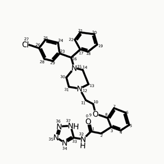 O=C(Cc1ccccc1OCCN1CCN(C(c2ccccc2)c2ccc(Cl)cc2)CC1)Nc1nnn[nH]1